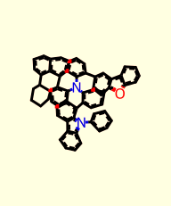 c1ccc(-n2c3ccccc3c3cccc(-c4ccccc4N(c4ccccc4-c4ccc5oc6ccccc6c5c4)c4ccccc4-c4cccc5cccc(C6CCCCC6)c45)c32)cc1